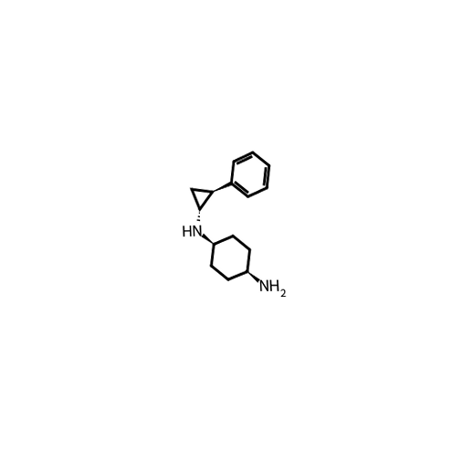 N[C@H]1CC[C@@H](N[C@@H]2C[C@H]2c2ccccc2)CC1